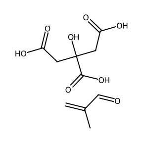 C=C(C)C=O.O=C(O)CC(O)(CC(=O)O)C(=O)O